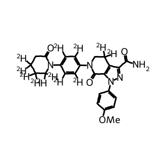 [2H]c1c([2H])c(N2C(=O)CC([2H])([2H])C([2H])([2H])C2([2H])[2H])c([2H])c([2H])c1N1CC([2H])([2H])c2c(C(N)=O)nn(-c3ccc(OC)cc3)c2C1=O